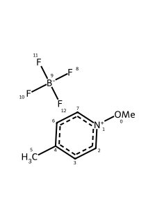 CO[n+]1ccc(C)cc1.F[B-](F)(F)F